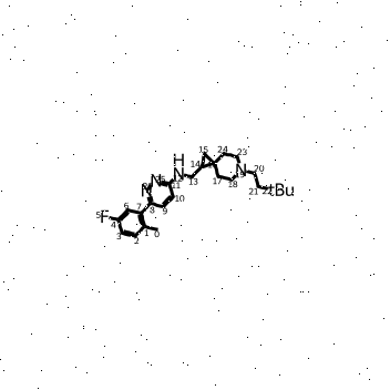 Cc1ccc(F)cc1-c1ccc(NCC2CC23CCN(CCC(C)(C)C)CC3)nn1